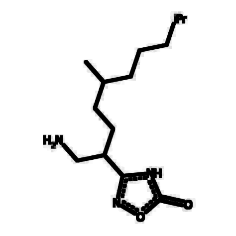 CC(C)CCCC(C)CCC(CN)c1noc(=O)[nH]1